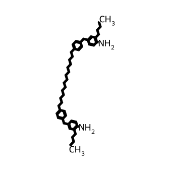 CCCCCc1cc(Cc2ccc(CCCCCCCCCCCCCCCc3ccc(Cc4ccc(N)c(CCCCC)c4)cc3)cc2)ccc1N